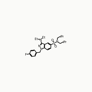 CCN(CC)c1nn(Cc2ccc(F)cc2)c2ccc(S(=O)(=O)N(CC(C)C)CC(C)C)cc12